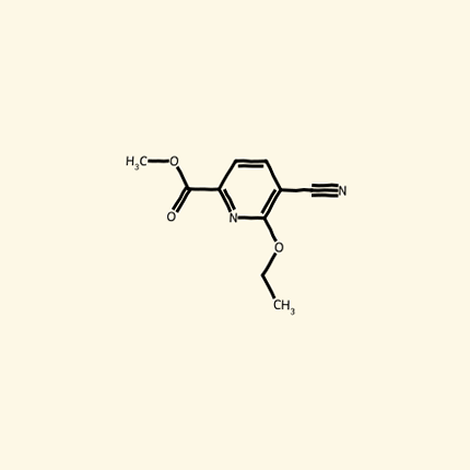 CCOc1nc(C(=O)OC)ccc1C#N